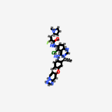 COc1cc(Oc2ccn3ncnc3c2)c(C)cc1Nc1ncnc2ccc(NC(=O)/C(F)=C\[C@H]3CCCN3C)c(Cl)c12